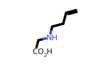 C=CCCNCC(=O)O